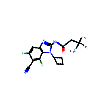 CC(C)(C)CC(=O)Nc1nc2cc(F)c(C#N)c(F)c2n1C1CCC1